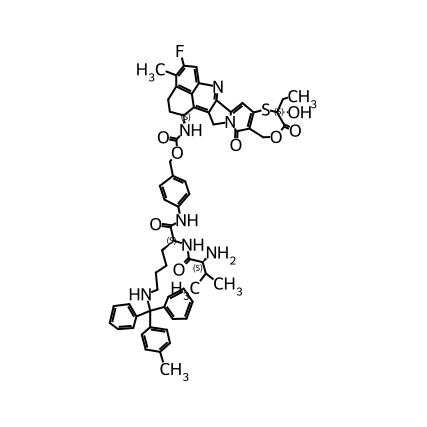 CC[C@]1(O)Sc2cc3n(c(=O)c2COC1=O)Cc1c-3nc2cc(F)c(C)c3c2c1[C@@H](NC(=O)OCc1ccc(NC(=O)[C@H](CCCCNC(c2ccccc2)(c2ccccc2)c2ccc(C)cc2)NC(=O)[C@@H](N)C(C)C)cc1)CC3